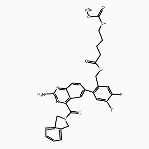 CCCCOC(=O)NCCCCC(=O)OCc1cc(F)c(F)cc1-c1ccc2nc(N)nc(C(=O)N3Cc4ccccc4C3)c2c1